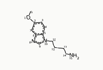 COc1ccc2c(c1)ncn2CCCCN